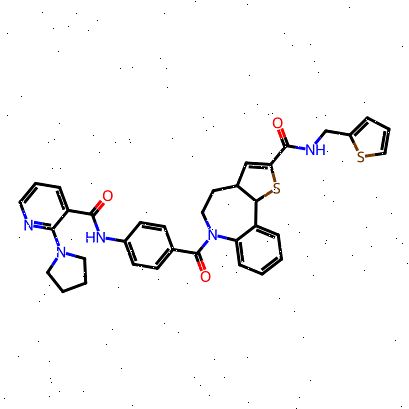 O=C(NCc1cccs1)C1=CC2CCN(C(=O)c3ccc(NC(=O)c4cccnc4N4CCCC4)cc3)c3ccccc3C2S1